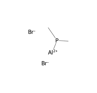 C[P](C)[Al+2].[Br-].[Br-]